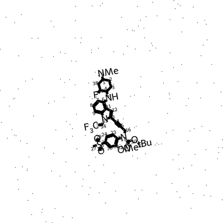 CNC1CCC(Nc2cccc3c2cc(C#CCN(C(=O)OC(C)(C)C)c2ccc(S(C)(=O)=O)cc2OC)n3CC(F)(F)F)C(F)C1